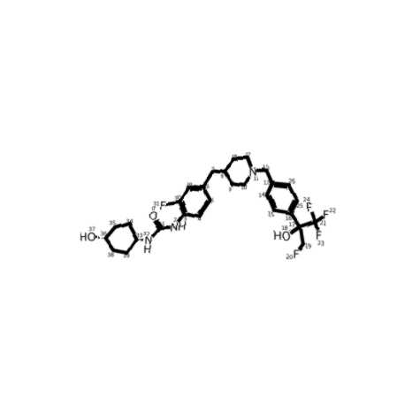 O=C(Nc1ccc(CC2CCN(Cc3ccc(C(O)(CF)C(F)(F)F)cc3)CC2)cc1F)N[C@H]1CC[C@@H](O)CC1